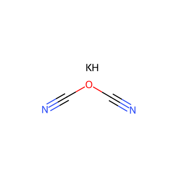 N#COC#N.[KH]